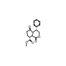 COC(=O)[C@@H]1CCC(=O)N2C1C(=O)OC[C@H]2c1ccccc1